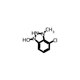 CN1NN(O)c2cccc(Cl)c21